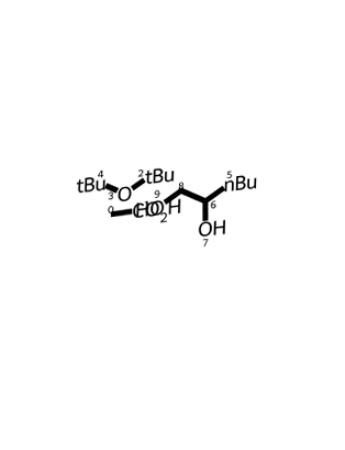 CC(=O)O.CC(C)(C)OC(C)(C)C.CCCCC(O)CO